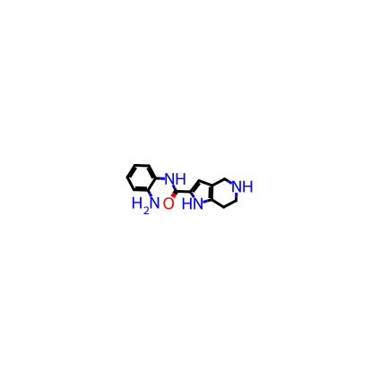 Nc1ccccc1NC(=O)c1cc2c([nH]1)CCNC2